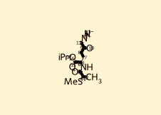 CS[C@@H](C)C(=O)N[C@@H](CCC(=O)C=[N+]=[N-])C(=O)OC(C)C